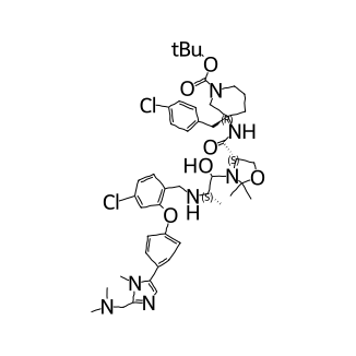 C[C@H](NCc1ccc(Cl)cc1Oc1ccc(-c2cnc(CN(C)C)n2C)cc1)C(O)N1[C@H](C(=O)N[C@@]2(Cc3ccc(Cl)cc3)CCCN(C(=O)OC(C)(C)C)C2)COC1(C)C